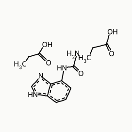 CCC(=O)O.CCC(=O)O.NC(=O)Nc1cccc2[nH]cnc12